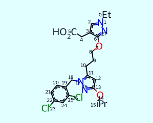 CCn1cc(CC(=O)O)c(OCCCc2cc(OC(C)C)nn2Cc2ccc(Cl)cc2Cl)n1